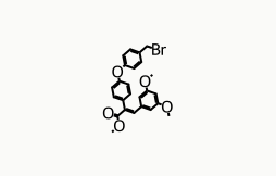 COC(=O)/C(=C/c1cc(OC)cc(OC)c1)c1ccc(Oc2ccc(CBr)cc2)cc1